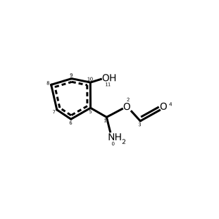 NC(OC=O)c1ccccc1O